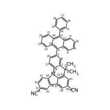 CC1(C)c2cc(-c3c4ccccc4c(-c4ccccc4)c4ccccc34)ccc2-n2c3ccc(C#N)cc3c3cc(C#N)cc1c32